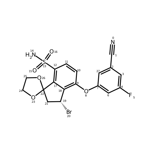 N#Cc1cc(F)cc(Oc2ccc(S(N)(=O)=O)c3c2[C@H](Br)CC32OCCO2)c1